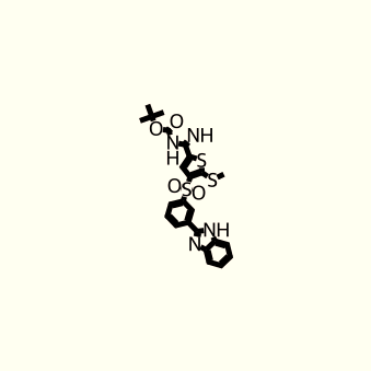 CSc1sc(C(=N)NC(=O)OC(C)(C)C)cc1S(=O)(=O)c1cccc(-c2nc3ccccc3[nH]2)c1